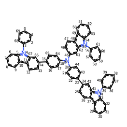 c1ccc(-n2c3ccccc3c3ccc(-c4ccc(N(c5ccc(-c6ccc7c8ccccc8n(-c8ccccc8)c7c6)cc5)c5ccc6c7ccccc7n(-c7ccccc7)c6c5)cc4)cc32)cc1